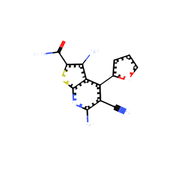 N#Cc1c(N)nc2sc(C(N)=O)c(N)c2c1-c1ccco1